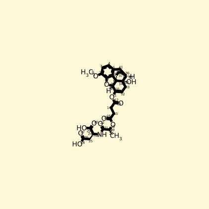 COc1ccc2c3c1O[C@@H]1C(OC(=O)CCC(=O)O[C@@H](C)C(=O)N[C@@H](CC(=O)O)C(=O)O)=CC[C@]4(O)[C@@H](CCC[C@@]314)C2